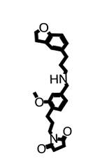 COc1cc(CNCCCc2ccc3c(c2)CCO3)ccc1CCCN1C(=O)CCC1=O